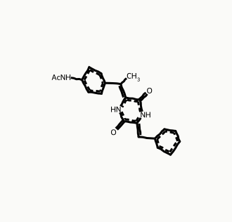 CC(=O)Nc1ccc(/C(C)=c2\[nH]c(=O)/c(=C/c3ccccc3)[nH]c2=O)cc1